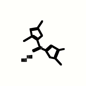 Cl.Cl.[CH2]=[Zr]([C]1=CC(C)=C(C)C1)[C]1=C(C)C=C(C)C1